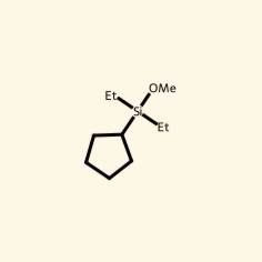 CC[Si](CC)(OC)C1CCCC1